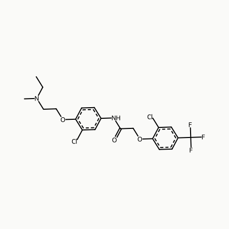 CCN(C)CCOc1ccc(NC(=O)COc2ccc(C(F)(F)F)cc2Cl)cc1Cl